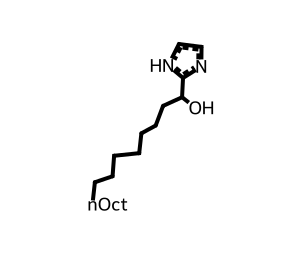 CCCCCCCCCCCCCCCC(O)c1ncc[nH]1